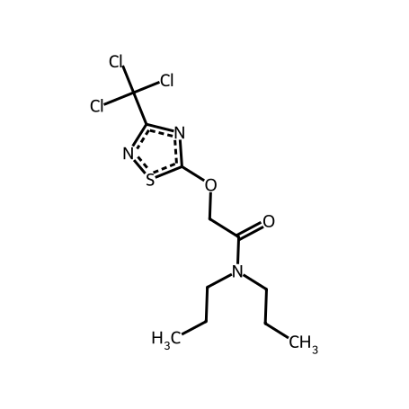 CCCN(CCC)C(=O)COc1nc(C(Cl)(Cl)Cl)ns1